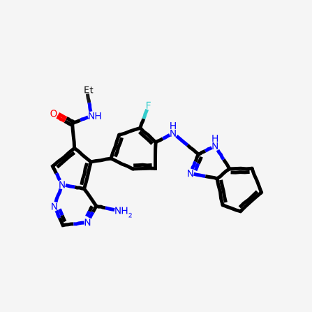 CCNC(=O)c1cn2ncnc(N)c2c1-c1ccc(Nc2nc3ccccc3[nH]2)c(F)c1